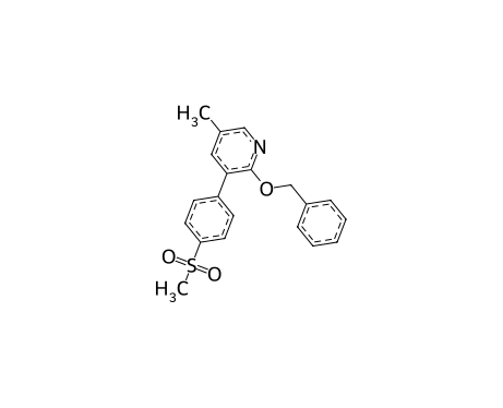 Cc1cnc(OCc2ccccc2)c(-c2ccc(S(C)(=O)=O)cc2)c1